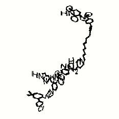 CC1(C)CCC(CN2CCN(c3ccc(C(=O)NS(=O)(=O)c4ccc(NCC5CCN(CCCCCCCCCC#Cc6ccc7c(c6)CN(C6CCC(=O)NC6=O)C7=O)CC5)c([N+](=O)[O-])c4)c(Oc4cnc5[nH]ccc5c4)c3)CC2)=C(c2ccc(Cl)cc2)C1